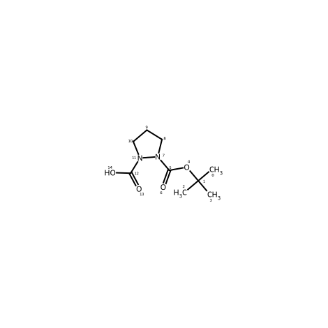 CC(C)(C)OC(=O)N1CCCN1C(=O)O